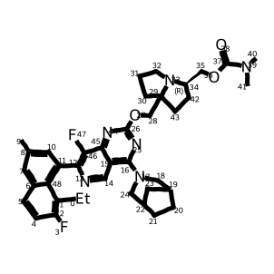 CCc1c(F)ccc2cc(C)cc(-c3ncc4c(N5CC6CCC(C6)C5)nc(OCC56CCCN5[C@@H](COC(=O)N(C)C)CC6)nc4c3F)c12